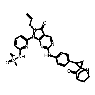 C=CCn1c(=O)c2cnc(Nc3ccc(C4CC45C(=O)C4CCN5CC4)cc3)nc2n1-c1cccc(N[SH](C)(C)=O)n1